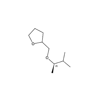 CC(C)[C@@H](C)OCC1CCCO1